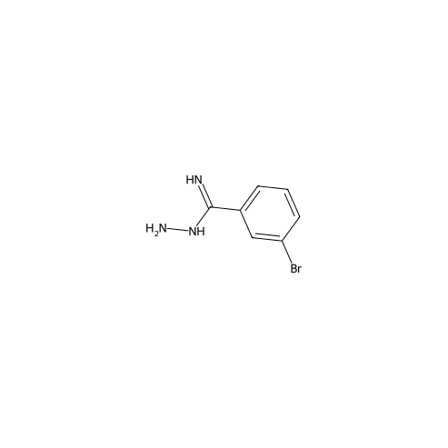 N=C(NN)c1cccc(Br)c1